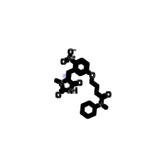 CN1C(=O)NC(=O)/C1=C\c1cc(OCCCC(=O)N(C)C2CCCCC2)ccc1[N+](=O)[O-]